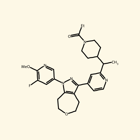 CCC(=O)N1CCC(C(C)c2cc(-c3nn(-c4cnc(OC)c(F)c4)c4c3CCOCC4)ccn2)CC1